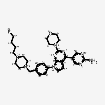 Nc1ncc(-c2nc(N3CCOCC3)nc3c2ccn3-c2ccc(CN3CCN(CCCCF)CC3)cc2)cn1